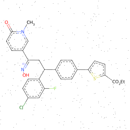 CCOC(=O)c1ccc(-c2ccc(C(C/C(=N\O)c3ccc(=O)n(C)c3)c3ccc(Cl)cc3F)cc2)s1